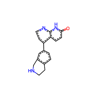 O=c1ccc2c(-c3ccc4c(c3)CNCC4)ccnc2[nH]1